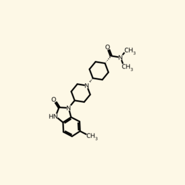 Cc1ccc2[nH]c(=O)n(C3CCN([C@H]4CC[C@@H](C(=O)N(C)C)CC4)CC3)c2c1